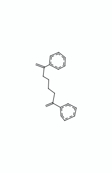 C=C(CCCCC(=C)c1ccccc1)c1ccccc1